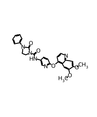 COc1cc2nccc(Oc3ccc(NC(=O)N4CCN(c5ccccc5)C4=O)cn3)c2cc1OC